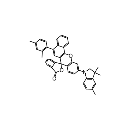 Cc1ccc(-c2cc3c(c4ccccc24)Oc2cc(N4CC(C)(C)c5cc(C)ccc54)ccc2C32OC(=O)c3ccccc32)c(C)c1